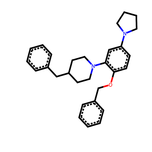 c1ccc(COc2ccc(N3CCCC3)cc2N2CCC(Cc3ccccc3)CC2)cc1